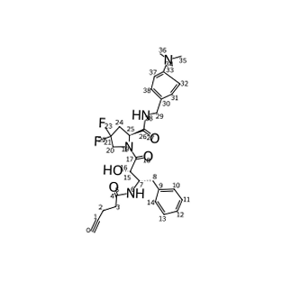 C#CCCC(=O)N[C@@H](Cc1ccccc1)[C@H](O)C(=O)N1CC(F)(F)C[C@H]1C(=O)NCc1ccc(N(C)C)cc1